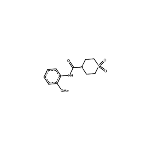 COc1ccccc1NC(=O)N1CCS(=O)(=O)CC1